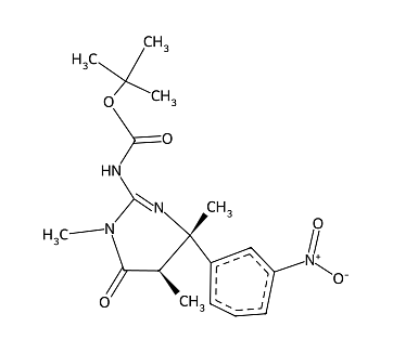 C[C@H]1C(=O)N(C)C(NC(=O)OC(C)(C)C)=N[C@]1(C)c1cccc([N+](=O)[O-])c1